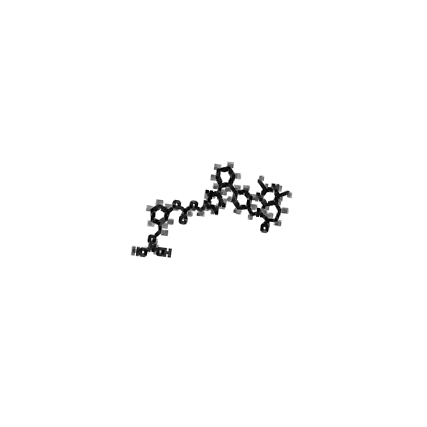 Cc1nc(C)c2c(n1)N(Cc1ccc(-c3ccccc3-c3nnn(COC(=O)Oc4cccc(CON(O)O)c4)n3)cc1)C(=O)CC2